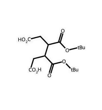 CC(C)(C)OC(=O)C(CC(=O)O)C(CC(=O)O)C(=O)OC(C)(C)C